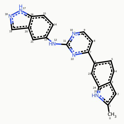 Cc1cc2ccc(-c3ccnc(Nc4ccc5[nH]ncc5c4)n3)cc2[nH]1